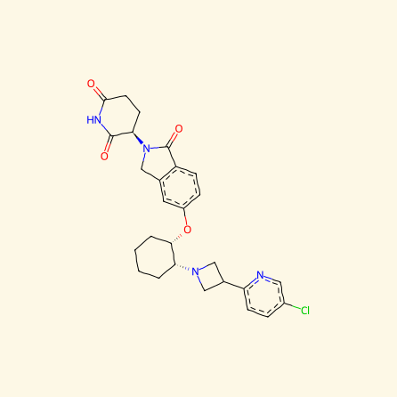 O=C1CC[C@@H](N2Cc3cc(O[C@H]4CCCC[C@H]4N4CC(c5ccc(Cl)cn5)C4)ccc3C2=O)C(=O)N1